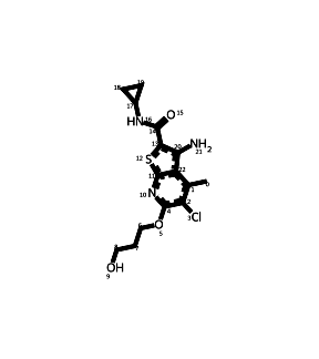 Cc1c(Cl)c(OCCCO)nc2sc(C(=O)NC3CC3)c(N)c12